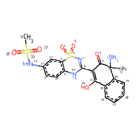 CCCC1(N)C(=O)C(C2=NS(=O)(=O)c3cc(NS(C)(=O)=O)ccc3N2)=C(O)c2ccccc21